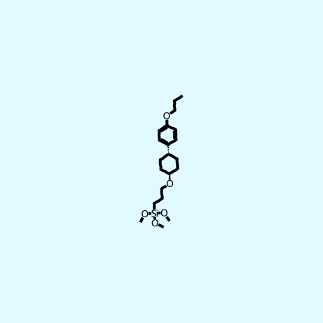 CCCOc1ccc([C@H]2CC[C@H](OCCC[Si](OC)(OC)OC)CC2)cc1